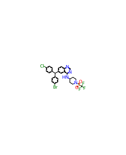 O=S(=O)(N1CCC(Nc2ncnc3ccc(C(c4ccc(Cl)cc4)c4ccc(Br)cc4)cc23)CC1)C(F)(F)F